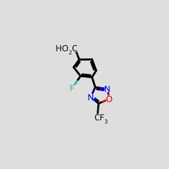 O=C(O)c1ccc(-c2noc(C(F)(F)F)n2)c(F)c1